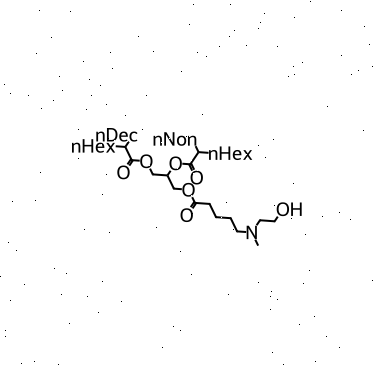 CCCCCCCCCCC(CCCCCC)C(=O)OCC(COC(=O)CCCCN(C)CCO)OC(=O)C(CCCCCC)CCCCCCCCC